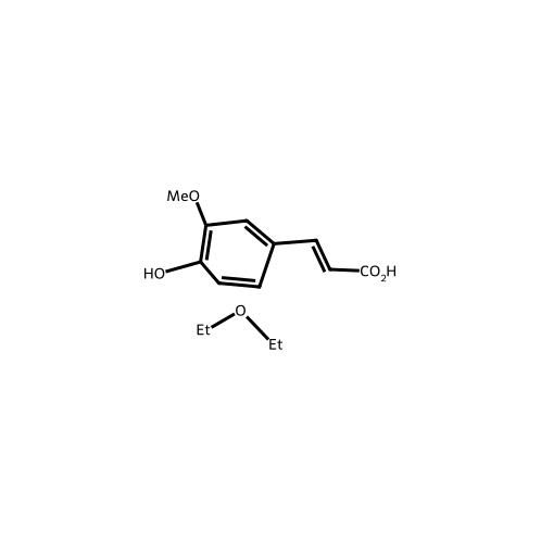 CCOCC.COc1cc(/C=C/C(=O)O)ccc1O